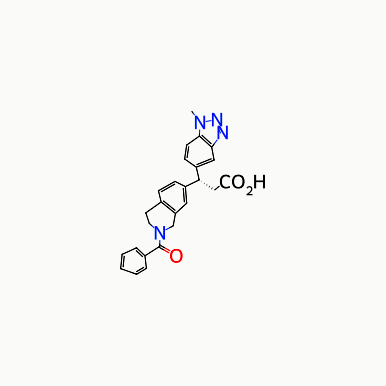 Cn1nnc2cc([C@H](CC(=O)O)c3ccc4c(c3)CN(C(=O)c3ccccc3)CC4)ccc21